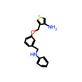 Nc1cscc1COc1cccc(CNc2ccccc2)c1